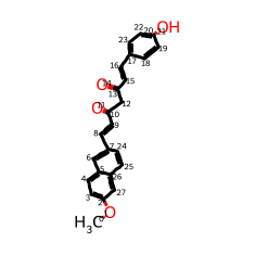 COc1ccc2cc(/C=C/C(=O)CC(=O)/C=C/c3ccc(O)cc3)ccc2c1